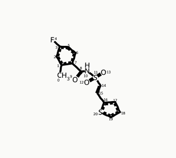 Cc1cc(F)ccc1C(=O)NS(=O)(=O)C=Cc1cccs1